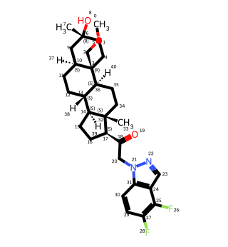 COC[C@]12CC[C@@](C)(O)C[C@@H]1CC[C@H]1[C@@H]3CC[C@H](C(=O)Cn4ncc5c(F)c(F)ccc54)[C@@]3(C)CC[C@@H]12